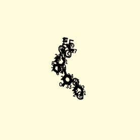 Cc1cc(CN2CCCC23CCN(C(=O)OC(C)C(F)(F)F)CC3)cc(OC2CCOCC2)c1